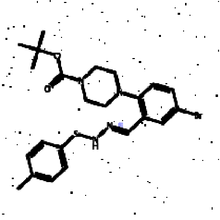 Cc1ccc(SN/N=C/c2cc(Br)ccc2N2CCN(C(=O)OC(C)(C)C)CC2)cc1